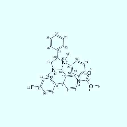 COC(=O)N1C=CC(c2ccc(F)cc2)C(C2N(C)CC(c3ccccc3)[N+]2(C)c2ccccc2)=C1